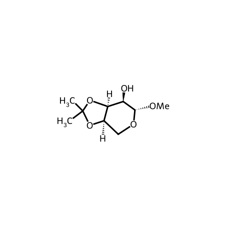 CO[C@@H]1OC[C@H]2OC(C)(C)O[C@H]2[C@H]1O